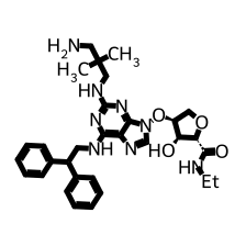 CCNC(=O)[C@H]1OC[C@H](On2cnc3c(NCC(c4ccccc4)c4ccccc4)nc(NCC(C)(C)CN)nc32)[C@@H]1O